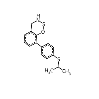 CC(C)Sc1ccc(-c2cccc3c2OSNC3)cc1